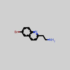 NCCc1ccc2cc(Br)ccc2n1